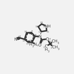 CC(C)(C)OC(=O)N(c1ccc(C#N)cc1N)[C@@H]1CCNC1